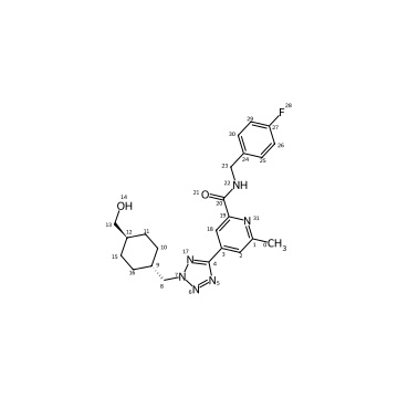 Cc1cc(-c2nnn(C[C@H]3CC[C@H](CO)CC3)n2)cc(C(=O)NCc2ccc(F)cc2)n1